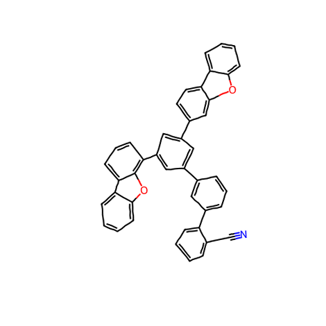 N#Cc1ccccc1-c1cccc(-c2cc(-c3ccc4c(c3)oc3ccccc34)cc(-c3cccc4c3oc3ccccc34)c2)c1